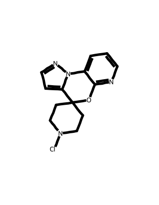 ClN1CCC2(CC1)Oc1ncccc1-n1nccc12